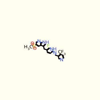 CS(=O)(=O)c1cnc2[nH]cc(Cc3ccc(NCc4cnccc4C(F)(F)F)nc3F)c2c1